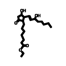 CCCCCC(O)C=CC1C(O)CC(=O)C1CCCCCCC(=O)OCC